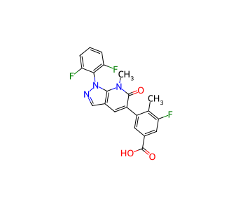 Cc1c(F)cc(C(=O)O)cc1-c1cc2cnn(-c3c(F)cccc3F)c2n(C)c1=O